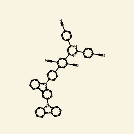 N#Cc1ccc(-c2cc(-c3cc(C#N)c(-c4ccc(-n5c6ccccc6c6cc(-n7c8ccccc8c8ccccc87)ccc65)cc4)cc3C#N)nc(-c3ccc(C#N)cc3)n2)cc1